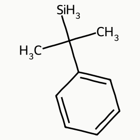 CC(C)([SiH3])c1ccccc1